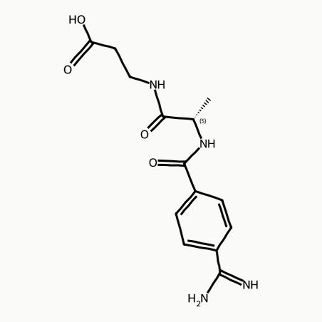 C[C@H](NC(=O)c1ccc(C(=N)N)cc1)C(=O)NCCC(=O)O